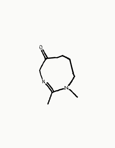 C/C1=N/CC(=O)CCCN1C